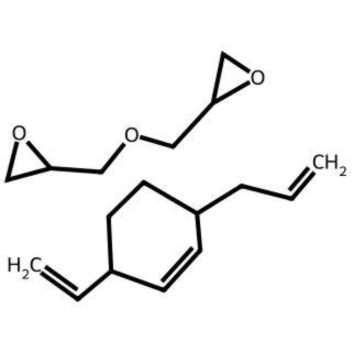 C(OCC1CO1)C1CO1.C=CCC1C=CC(C=C)CC1